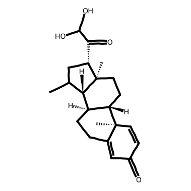 CC1C[C@H](C(=O)C(O)O)[C@@]2(C)CC[C@H]3[C@@H](CCC4=CC(=O)C=C[C@@]43C)[C@H]12